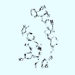 Cc1ncsc1-c1ccc([C@H](C)NC(=O)[C@@H]2C[C@@H](O)CN2C(=O)[C@@H](c2cc(OCCN3CCC[C@H](CN4CCN5c6cc(-c7ccccc7O)nnc6NC[C@H]5C4)C3)no2)C(C)C)cc1